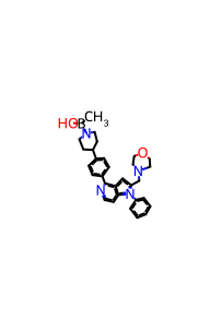 CB(O)N1CCC(c2ccc(-c3nccc4c3cc(CN3CCOCC3)n4-c3ccccc3)cc2)CC1